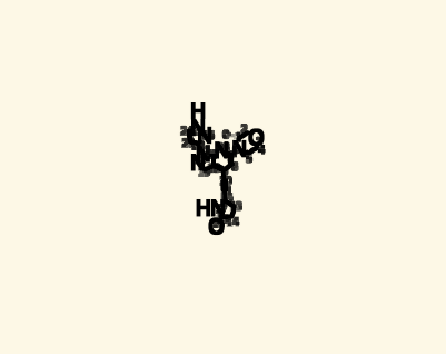 C[C@@H]1COCCN1c1cc(C#CC2CCC(=O)N2)c2cnn(-c3cc[nH]n3)c2n1